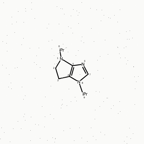 CC(C)N1CCc2c1ncn2C(C)C